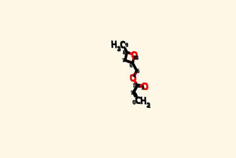 C=CC(=O)OCC1CC(C)O1